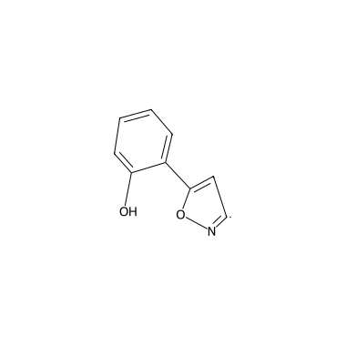 Oc1ccccc1-c1c[c]no1